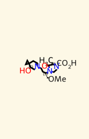 COC[C@H](CCN1CCC2(CC2)[C@H](O)C1)N1CCN(C(=O)O)[C@H](C)C1=O